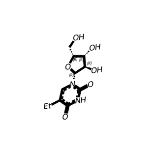 CCc1cn([C@@H]2O[C@H](CO)[C@H](O)[C@H]2O)c(=O)[nH]c1=O